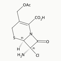 CC(=O)OCC1=C(C(=O)O)N2C(=O)[C@@](N)(Cl)[C@H]2SC1